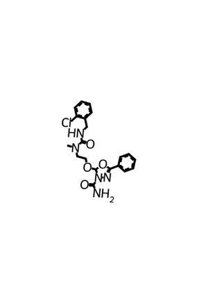 CN(CCOC1OC(c2ccccc2)=NN1C(N)=O)C(=O)NCc1ccccc1Cl